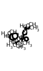 CC(C)[C@H](NC12CCCCC(CC1)C(C)(C)NCCC2=O)C(=O)N[C@@H](C)C(=O)C1(OC2CCN(C(=O)CC(C)(C)C)CC2)CCCCC1